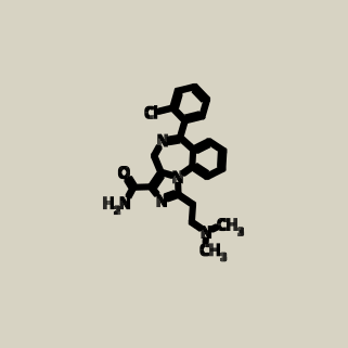 CN(C)CCc1nc(C(N)=O)c2n1-c1ccccc1C(c1ccccc1Cl)=NC2